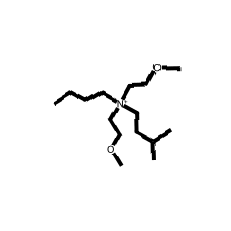 CCCC[N+](CCOC)(CCOC)CCC(C)C